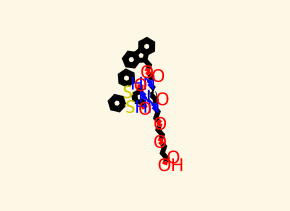 O=C(O)CCOCCOCCNC(=O)[C@H](CNC(=O)OCC1c2ccccc2-c2ccccc21)N1C(=O)C(Sc2ccccc2)=C(Sc2ccccc2)C1=O